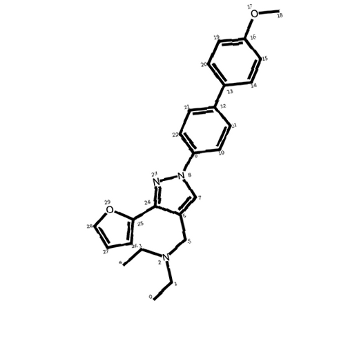 CCN(CC)Cc1cn(-c2ccc(-c3ccc(OC)cc3)cc2)nc1-c1ccco1